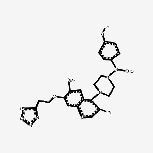 COc1cc2c(N3CCN(N(C=O)c4ccc(OC(C)C)cc4)CC3)c(C#N)cnc2cc1OCCc1nnn[nH]1